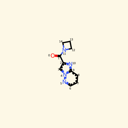 O=C(c1cn2ncccc2n1)N1CCC1